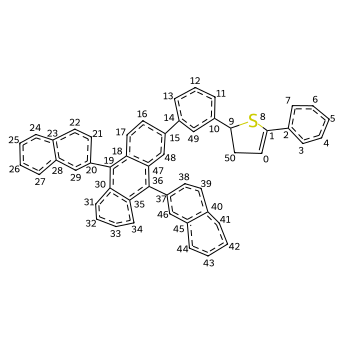 C1=C(c2ccccc2)SC(c2cccc(-c3ccc4c(-c5ccc6ccccc6c5)c5ccccc5c(-c5ccc6ccccc6c5)c4c3)c2)C1